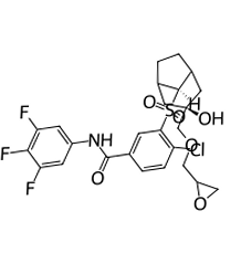 O=C(Nc1cc(F)c(F)c(F)c1)c1ccc(Cl)c(S(=O)(=O)[C@H]2C3CCC2C[C@](O)(COCC2CO2)C3)c1